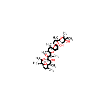 CC[C@@H](C(=O)[C@@H](C)[C@@H](O)[C@H](C)[C@@H]1O[C@@H]([C@@H](CC)C(C)=O)CC[C@@H]1C)[C@H]1O[C@]2(C=C[C@@H](O)[C@]3(CC[C@@](C)([C@H]4CC[C@](O)(CC)[C@H](C)O4)O3)O2)[C@H](C)C[C@@H]1C